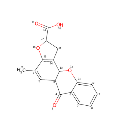 CC1=CC2C(=O)c3ccccc3OC2C2=C1OC(C(=O)O)C2